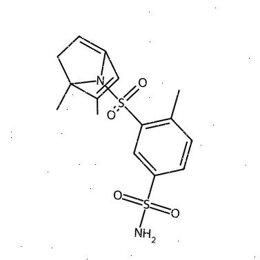 CC1=CC2=CCC1(C)N2S(=O)(=O)c1cc(S(N)(=O)=O)ccc1C